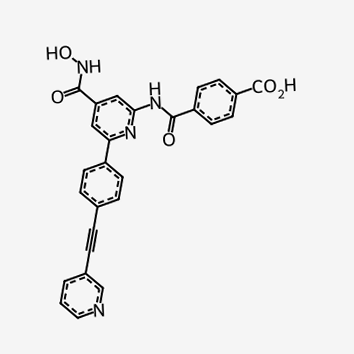 O=C(O)c1ccc(C(=O)Nc2cc(C(=O)NO)cc(-c3ccc(C#Cc4cccnc4)cc3)n2)cc1